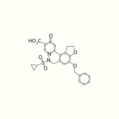 O=C(O)c1cn2c(cc1=O)-c1c(cc(OCc3ccccc3)c3c1CCO3)CN2S(=O)(=O)C1CC1